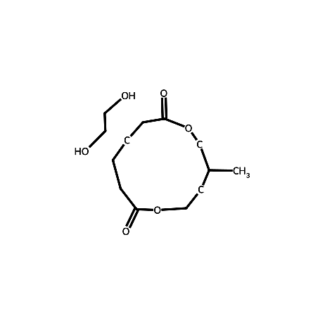 CC1CCOC(=O)CCCCC(=O)OC1.OCCO